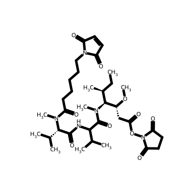 CC[C@H](C)[C@@H]([C@@H](CC(=O)ON1C(=O)CCC1=O)OC)N(C)C(=O)C(NC(=O)[C@H](C(C)C)N(C)C(=O)CCCCCN1C(=O)C=CC1=O)C(C)C